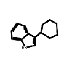 c1ccc2c(C3CCCCC3)c[nH]c2c1